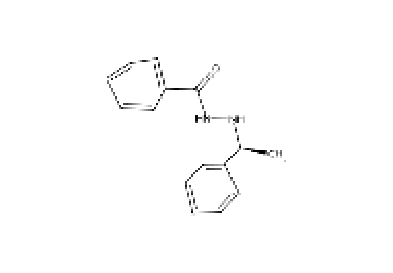 C[C@H](NNC(=O)c1ccccc1)c1ccccc1